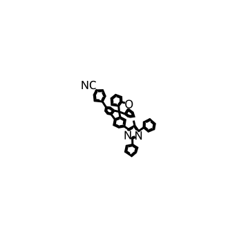 Cc1c(-c2ccccc2)nc(-c2ccccc2)nc1-c1ccc2c(c1)C1(c3ccccc3Oc3ccccc31)c1cc(-c3ccc(C#N)cc3)ccc1-2